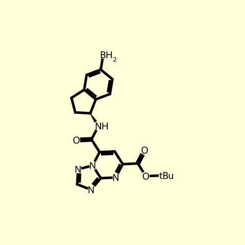 Bc1ccc2c(c1)CC[C@@H]2NC(=O)c1cc(C(=O)OC(C)(C)C)nc2ncnn12